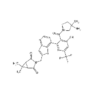 Cc1cc(C(F)(F)F)nc(-c2ccnc3cc(CN4C(=O)C5C(C4=O)C5(C)C)sc23)c1C(=O)N1CCC(C)(N)C1